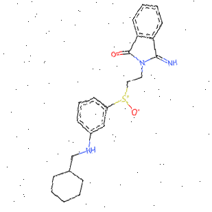 N=C1c2ccccc2C(=O)N1CC[S+]([O-])c1cccc(NCC2CCCCC2)c1